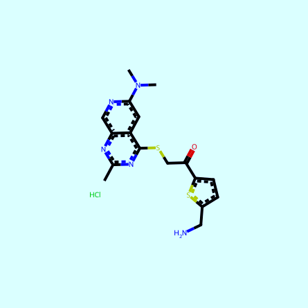 Cc1nc(SCC(=O)c2ccc(CN)s2)c2cc(N(C)C)ncc2n1.Cl